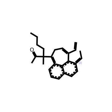 C=CC1=CCC(C(C)(CCCC)C(C)=O)=c2cccc3cc/c(=C/C)c1c23